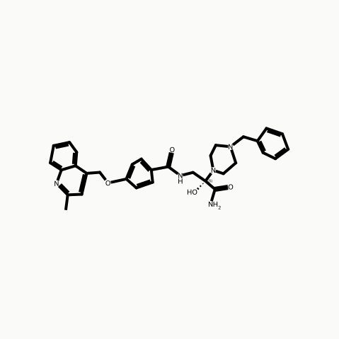 Cc1cc(COc2ccc(C(=O)NC[C@](O)(C(N)=O)N3CCN(Cc4ccccc4)CC3)cc2)c2ccccc2n1